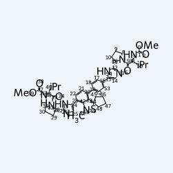 COC(=O)N[C@H](C(=O)N1CCC[C@H]1c1ncc(-c2ccc(-c3ccc(-c4cnc([C@@H]5CCCN5C(=O)[C@@H](NC(=O)OC)C(C)C)[nH]4)c4c3C3(CCCC3)SN4C)cc2)[nH]1)C(C)C